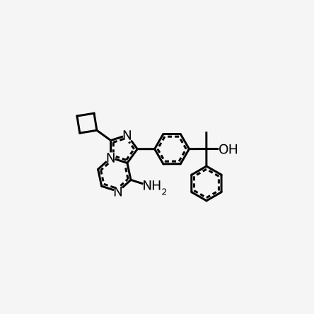 CC(O)(c1ccccc1)c1ccc(-c2nc(C3CCC3)n3ccnc(N)c23)cc1